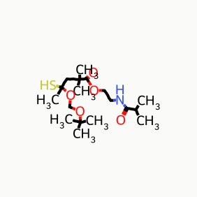 CC(C)C(=O)NCCOC(=O)C(C)(C)CC(C)(S)OCOC(C)(C)C